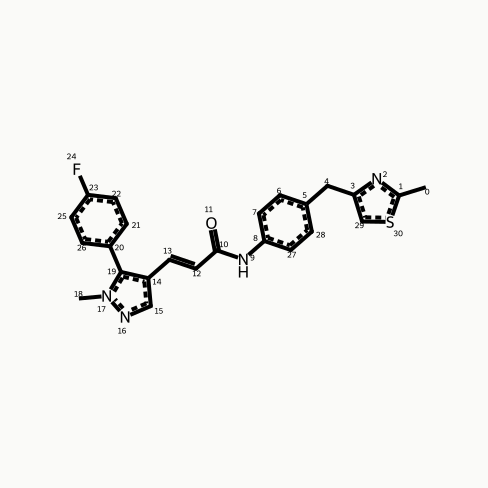 Cc1nc(Cc2ccc(NC(=O)C=Cc3cnn(C)c3-c3ccc(F)cc3)cc2)cs1